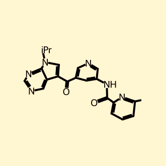 Cc1cccc(C(=O)Nc2cncc(C(=O)c3cn(C(C)C)c4ncncc34)c2)n1